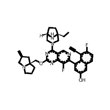 C#Cc1c(F)ccc2cc(O)cc(-c3ncc4c(N5C[C@@H]6CC[C@](CC)(C5)N6)nc(OC[C@@]56CCCN5CC(=C)C6)nc4c3F)c12